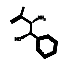 C=C(C)[C@H](N)[C@H](O)c1ccccc1